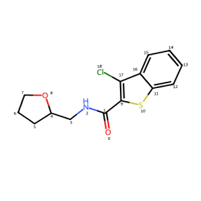 O=C(NCC1CCCO1)c1sc2ccccc2c1Cl